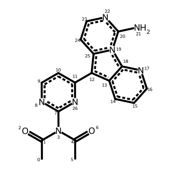 CC(=O)N(C(C)=O)c1nccc(-c2c3cccnc3n3c(N)nccc23)n1